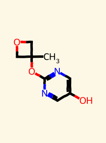 CC1(Oc2ncc(O)cn2)COC1